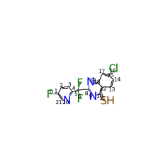 Fc1ccc(C(F)(F)c2nc(S)c3ccc(Cl)cc3n2)nc1